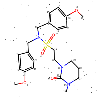 COc1ccc(CN(Cc2ccc(OC)cc2)S(=O)(=O)CCN2C(=O)N(C)CC[C@H]2C)cc1